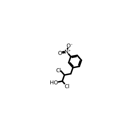 O=[N+]([O-])c1cccc(CC(Cl)C(O)Cl)c1